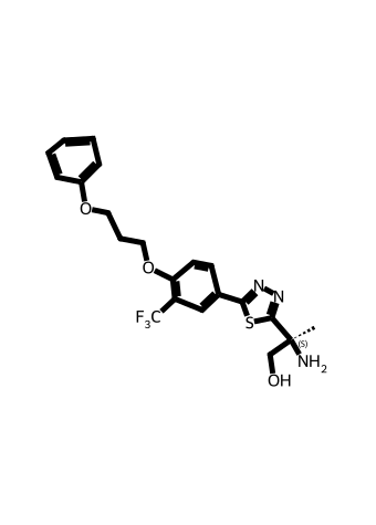 C[C@](N)(CO)c1nnc(-c2ccc(OCCCOc3ccccc3)c(C(F)(F)F)c2)s1